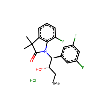 CNC[C@H](O)[C@H](c1cc(F)cc(F)c1)N1C(=O)C(C)(C)c2cccc(F)c21.Cl